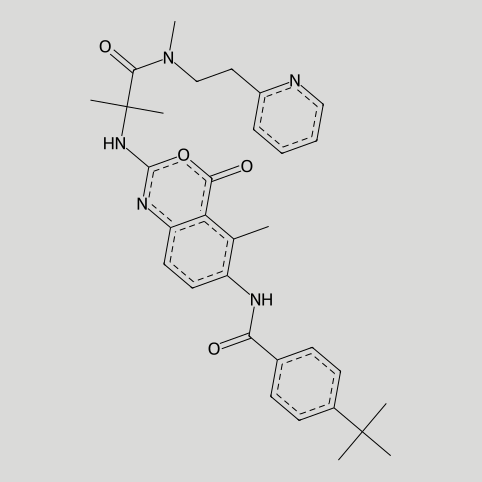 Cc1c(NC(=O)c2ccc(C(C)(C)C)cc2)ccc2nc(NC(C)(C)C(=O)N(C)CCc3ccccn3)oc(=O)c12